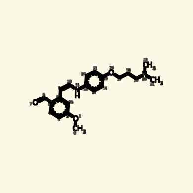 COc1ccc(C=O)c(/C=C\Nc2ccc(OCCCN(C)C)cc2)c1